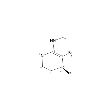 CNC1=C(Br)[C@@H](C)CC=N1